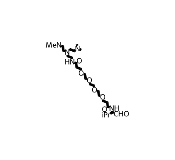 CNCCN(CCNC(=O)CCOCCOCCOCCOCCC(=O)NC(C=O)C(C)C)CCN(C)C